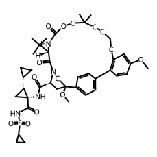 COc1ccc2c(c1)CCCCC(C)(C)COC(=O)N[C@@H](C(C)(C)C)C(=O)N1C[C@@](OC)(C[C@H]1C(=O)N[C@]1(C(=O)NS(=O)(=O)C3CC3)C[C@@H]1C1CC1)c1ccc-2cc1